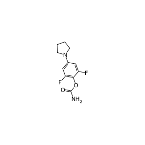 NC(=O)Oc1c(F)cc(N2CCCC2)cc1F